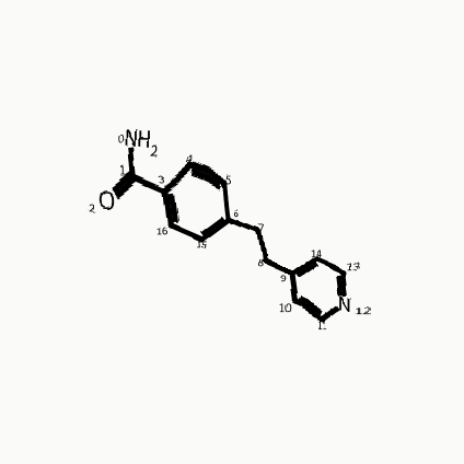 NC(=O)c1ccc(CCc2ccncc2)cc1